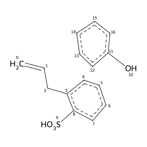 C=CCc1ccccc1S(=O)(=O)O.Oc1ccccc1